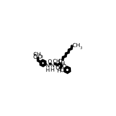 CCCCCCCCCO[C@@H]1[C@H]2OC3(CCCCC3)O[C@H]2O[C@@H]1[C@H](C)NC(=O)Nc1ccc(CC(=O)OC)cc1